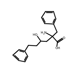 NC(Cc1ccccc1)(CC(O)CCc1ccccc1)C(=O)O